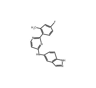 Cc1cc(F)ccc1-c1nccc(Nc2ccc3[nH]ncc3c2)n1